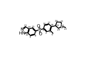 Cc1cc(S(=O)(=O)c2ccc3[nH]ncc3c2)ccc1C1CCN(C)C1